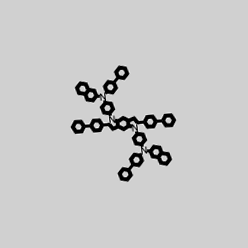 c1ccc(-c2ccc(-c3cc4cc5c(cc(-c6ccc(-c7ccccc7)cc6)n5-c5ccc(N(c6ccc(-c7ccccc7)cc6)c6ccc7ccccc7c6)cc5)cc4n3-c3ccc(N(c4ccc(-c5ccccc5)cc4)c4ccc5ccccc5c4)cc3)cc2)cc1